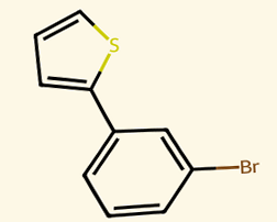 Brc1cccc(-c2cccs2)c1